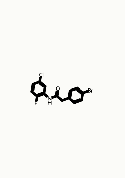 O=C(Cc1ccc(Br)cc1)Nc1cc(Cl)ccc1F